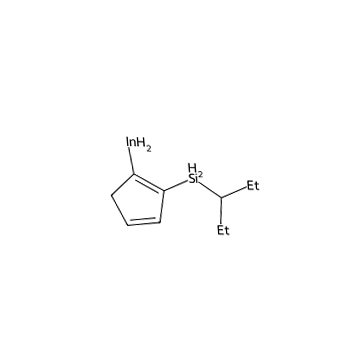 CCC(CC)[SiH2]C1=[C]([InH2])CC=C1